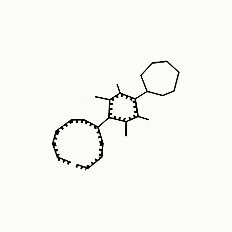 O=C(O)c1c(F)c(C2CCCCCC2)c(C(=O)O)c(F)c1-c1ccccccccc1